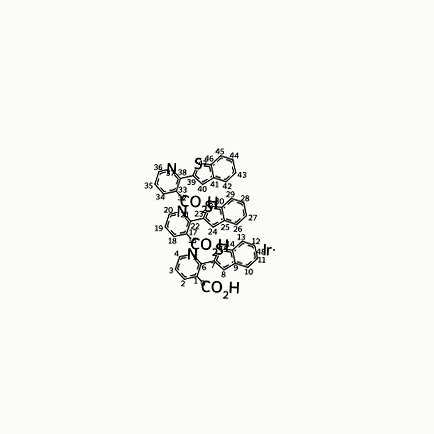 O=C(O)c1cccnc1-c1cc2ccccc2s1.O=C(O)c1cccnc1-c1cc2ccccc2s1.O=C(O)c1cccnc1-c1cc2ccccc2s1.[Ir]